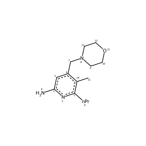 CCCc1nc(N)cc(CN2CCOCC2)c1C